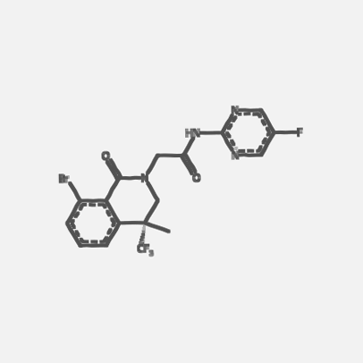 C[C@]1(C(F)(F)F)CN(CC(=O)Nc2ncc(F)cn2)C(=O)c2c(Br)cccc21